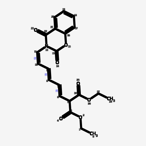 CCOC(=O)C(/C=C/C=C/C=C\n1c(=O)oc2ccccc2c1=O)C(=O)OCC